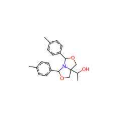 Cc1ccc(C2OCC3(C(C)O)COC(c4ccc(C)cc4)N23)cc1